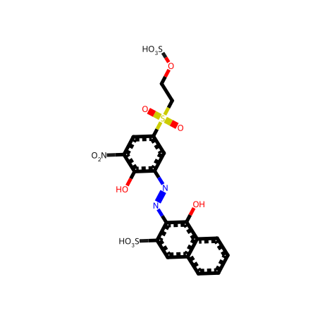 O=[N+]([O-])c1cc(S(=O)(=O)CCOS(=O)(=O)O)cc(N=Nc2c(S(=O)(=O)O)cc3ccccc3c2O)c1O